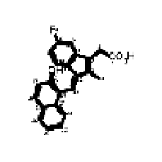 CC1=C(CC(=O)O)c2cc(F)ccc2/C1=C\c1c(O)ccc2ccccc12